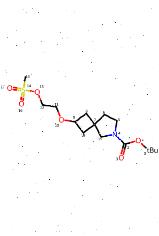 CC(C)(C)OC(=O)N1CCC2(CC(OCCOS(C)(=O)=O)C2)C1